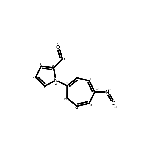 O=Cc1cccn1C1=CC=C(N=O)C=CC1